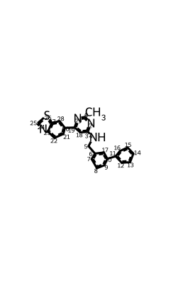 Cc1nc(NCc2cccc(-c3ccccc3)c2)cc(-c2ccc3ncsc3c2)n1